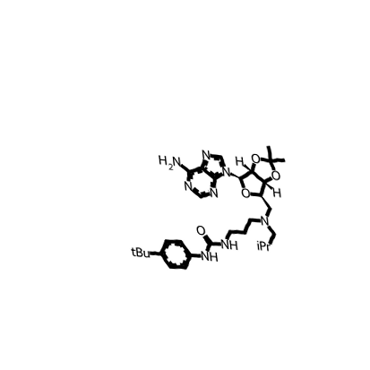 CC(C)CN(CCCNC(=O)Nc1ccc(C(C)(C)C)cc1)C[C@H]1O[C@@H](n2cnc3c(N)ncnc32)[C@@H]2OC(C)(C)O[C@@H]21